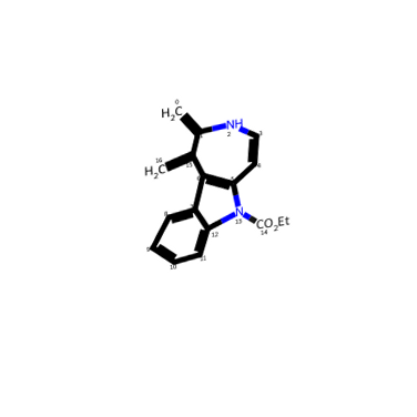 C=C1NC=Cc2c(c3ccccc3n2C(=O)OCC)C1=C